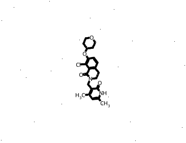 Cc1cc(C)c(CN2CCc3ccc(OC4CCOCC4)c(Cl)c3C2=O)c(=O)[nH]1